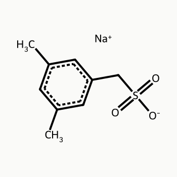 Cc1cc(C)cc(CS(=O)(=O)[O-])c1.[Na+]